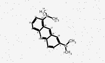 CN(C)c1ccc2nc3cccc(N(C)C)c3cc2c1